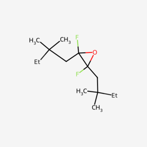 CCC(C)(C)CC1(F)OC1(F)CC(C)(C)CC